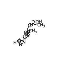 CC(O)CC(=O)N1CCC(CN(C)S(=O)(=O)N2CCN(c3ncnc4[nH]ccc34)CC23CC3)C1